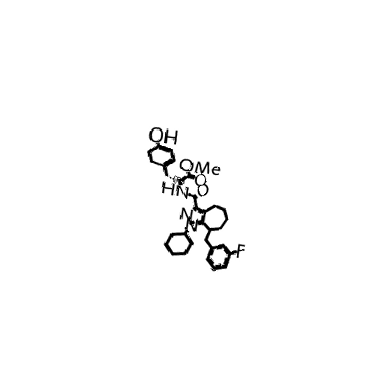 COC(=O)[C@@H](CC1=CC=C(O)CC1)NC(=O)c1nn(C2CCCCC2)c2c1CCCCC2Cc1cccc(F)c1